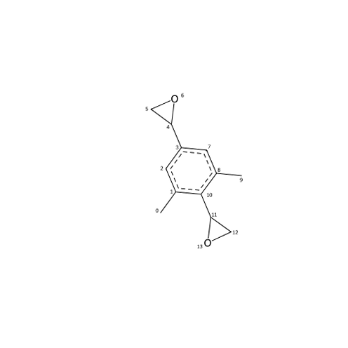 Cc1cc(C2CO2)cc(C)c1C1CO1